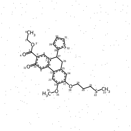 CCOC(=O)c1cn2c(cc1=O)-c1cc(OC)c(OCCCSC)cc1CC2c1cccs1